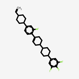 C=CC1CCC(c2ccc(C3=CCC(C4CCC(c5cc(F)c(F)c(F)c5)CC4)CC3)c(F)c2)CC1